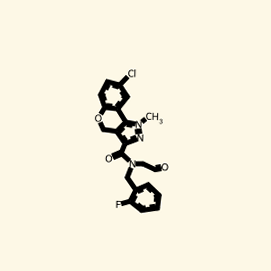 Cn1nc(C(=O)N(CC=O)Cc2ccccc2F)c2c1-c1cc(Cl)ccc1OC2